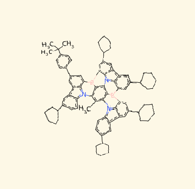 Cc1c2c3c4c5c1-n1c6ccc(C7CCCCC7)cc6c6cc(C7CCCCC7)cc(c61)B5c1cc(C5CCCCC5)cc5c6cc(C7CCCCC7)cc(c6n-4c15)B3c1cc(-c3ccc(C(C)(C)C)cc3)cc3c4cc(C5CCCCC5)ccc4n-2c13